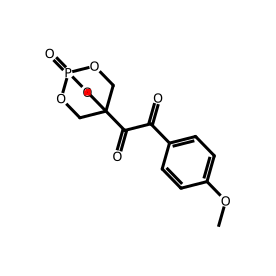 COc1ccc(C(=O)C(=O)C23COP(=O)(OC2)OC3)cc1